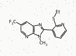 CCSc1ncccc1-c1nc2cc(C(F)(F)F)cnc2n1C